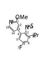 COc1cc(-c2cc(F)cc(C(C)C)c2N=S)ccn1